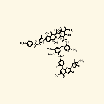 CN(C)[C@@H]1C(O)=C(C(N)=O)C(=O)[C@@]2(O)C(O)=C3C(=O)c4c(O)cccc4[C@@H](O)[C@H]3C[C@@H]12.COc1cc(Cc2cnc(N)nc2N)cc(OC)c1OC.Cc1cc(NS(=O)(=O)c2ccc(N)cc2)no1.N[C@@H]1[C@H]2CN(c3nc4c(cc3F)c(=O)c(C(=O)O)cn4-c3ccc(F)cc3F)C[C@@H]12